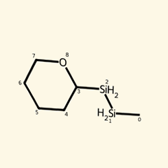 C[SiH2][SiH2]C1CCCCO1